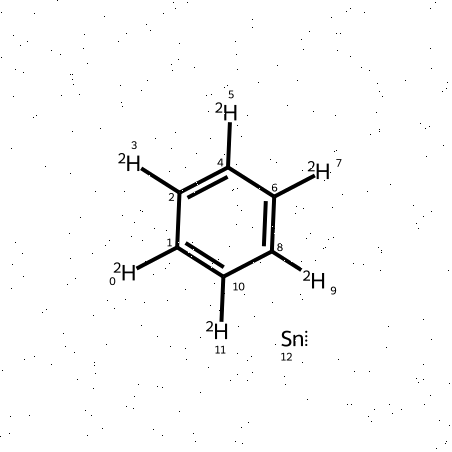 [2H]c1c([2H])c([2H])c([2H])c([2H])c1[2H].[Sn]